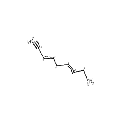 C#CC=CCC=CCC